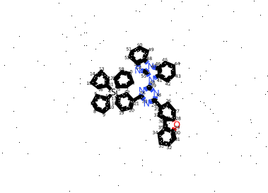 c1ccc([Si](c2ccccc2)(c2ccccc2)c2cccc(-c3nc(-c4ccc5oc6ccccc6c5c4)nc(-n4c5ccccc5n5c6ccccc6nc45)n3)c2)cc1